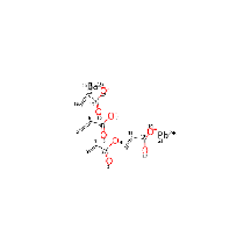 C=CC(=O)[O-].C=CC(=O)[O-].C=CC(=O)[O-].C=CC(=O)[O-].[Ba+2].[Pb+2]